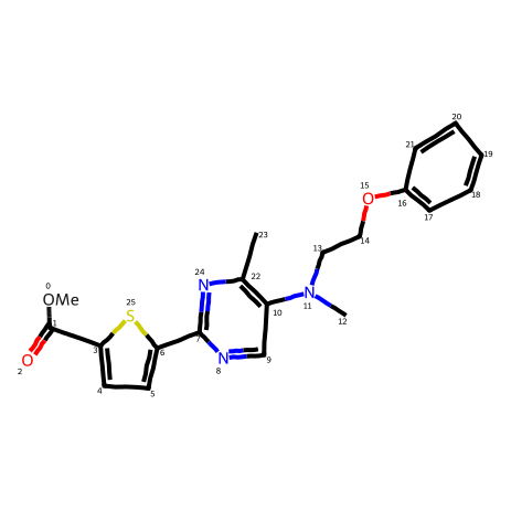 COC(=O)c1ccc(-c2ncc(N(C)CCOc3ccccc3)c(C)n2)s1